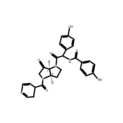 CC(C)(C)c1ccc(C(=O)NC(C(=O)N2CC[C@@H]3[C@H]2C(=O)CN3C(=O)C2C=CN=CC2)c2ccc(O)cc2)cc1